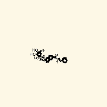 CC(C)c1cc(S(=O)(=O)Nc2ccc3cc(C(=O)NCCc4ccccc4)ccc3c2)c(O)c(O)c1O